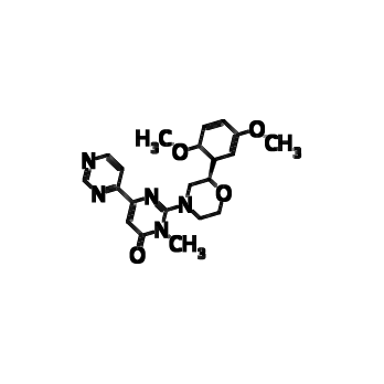 COC1=CC([C@@H]2CN(c3nc(-c4ccncn4)cc(=O)n3C)CCO2)C(OC)C=C1